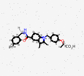 Cc1c(C)n(Cc2ccc(O[C@@H](C)C(=O)O)cc2)c2ccc(C(=O)N[C@@H](C)c3ccc(C(C)C)cc3)cc12